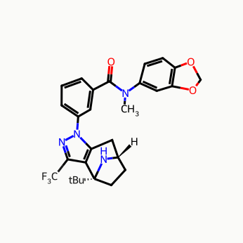 CN(C(=O)c1cccc(-n2nc(C(F)(F)F)c3c2C[C@@H]2CC[C@]3(C(C)(C)C)N2)c1)c1ccc2c(c1)OCO2